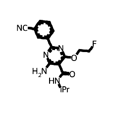 CC(C)NC(=O)c1c(N)nc(-c2cccc(C#N)c2)nc1OCCF